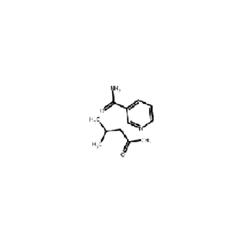 CC(=O)CC(C)C.NC(=O)c1cccnc1